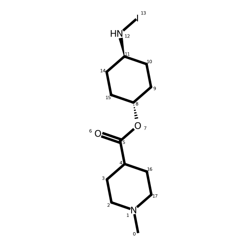 CN1CCC(C(=O)O[C@H]2CC[C@H](NI)CC2)CC1